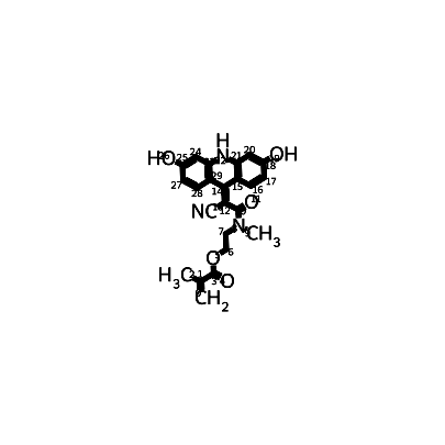 C=C(C)C(=O)OCCN(C)C(=O)C(C#N)=C1c2ccc(O)cc2Nc2cc(O)ccc21